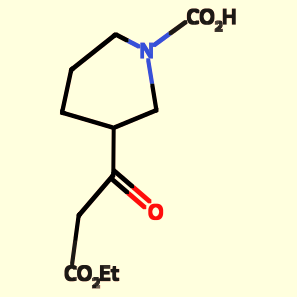 CCOC(=O)CC(=O)C1CCCN(C(=O)O)C1